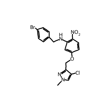 Cn1cc(Cl)c(COc2ccc([N+](=O)[O-])c(NCc3ccc(Br)cc3)c2)n1